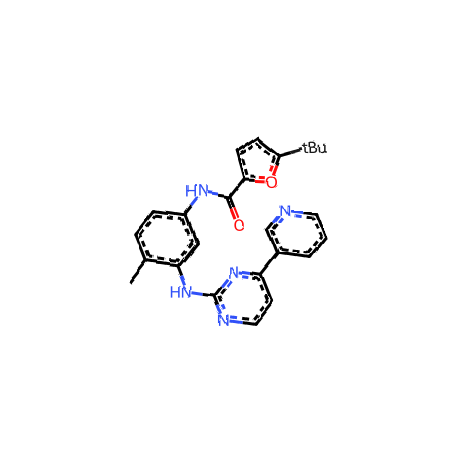 Cc1ccc(NC(=O)c2ccc(C(C)(C)C)o2)cc1Nc1nccc(-c2cccnc2)n1